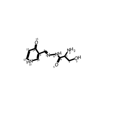 NC(CO)C(=O)N/N=C/c1c[nH]ccc1=O